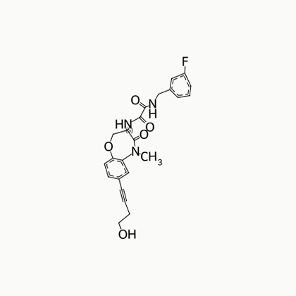 CN1C(=O)[C@@H](NC(=O)C(=O)NCc2cccc(F)c2)COc2ccc(C#CCCO)cc21